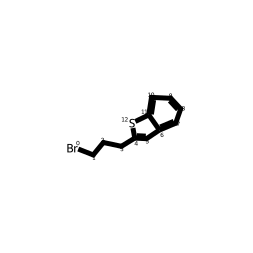 BrCCCc1cc2ccccc2s1